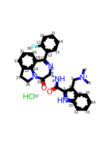 CN(C)Cc1c(C(=O)N[C@H]2N=C(c3ccccc3F)c3cccc4c3N(CC4)C2=O)[nH]c2ccccc12.Cl